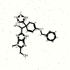 CCCC(c1nc2c(nc(CO)n2C)[nH]1)C1(c2nnn[nH]2)C=CC(OCc2ccccc2)=CC1